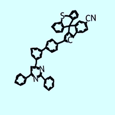 N#Cc1ccc2c(c1)C1(c3ccccc3Sc3ccccc31)c1cc(-c3ccc(-c4cccc(-c5cc(-c6ccccc6)nc(-c6ccccc6)n5)c4)cc3)ccc1-2